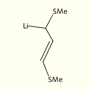 [Li][CH](/C=C/SC)SC